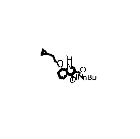 CCCCNC(=O)c1c[nH]c2c(OCCC3CC3)cccc2c1=O